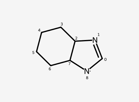 C1=NC2CCCCC2[N]1